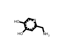 NCc1cc(O)c(O)cn1